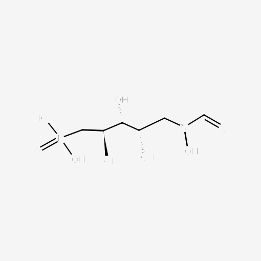 O=CN(O)C[C@H](O)[C@@H](O)[C@@H](O)CP(=O)(O)O